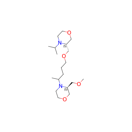 COC[C@H]1COCCN1C(C)CCCOC[C@H]1COCCN1C(C)C